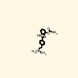 CN(C)CCc1ccc(-c2nc3c(OC(N)=O)cccc3[nH]2)cc1